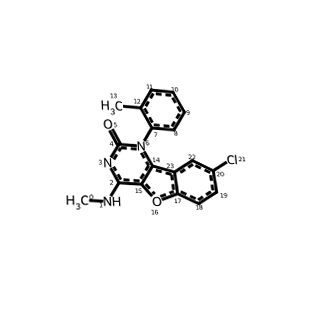 CNc1nc(=O)n(-c2ccccc2C)c2c1oc1ccc(Cl)cc12